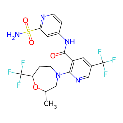 CC1CN(c2ncc(C(F)(F)F)cc2C(=O)Nc2ccnc(S(N)(=O)=O)c2)CCC(C(F)(F)F)O1